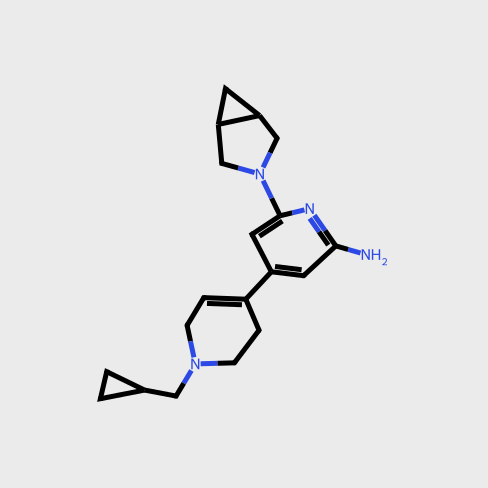 Nc1cc(C2=CCN(CC3CC3)CC2)cc(N2CC3CC3C2)n1